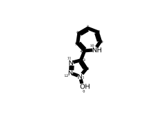 On1cc(C2=CC=CC=CN2)nn1